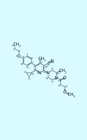 CCCOc1ccc(-c2c(C3CC3)nc(N3CCN(C(=O)CCOC)C(C)C3)c(C#N)c2C)cc1